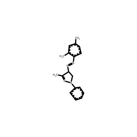 CC1=NN(c2ccccc2)CC1/N=N/c1ccc(C)cc1C